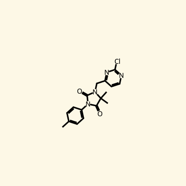 Cc1ccc(N2C(=O)N(Cc3ccnc(Cl)n3)C(C)(C)C2=O)cc1